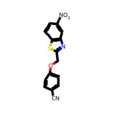 N#Cc1ccc(OCc2nc3cc([N+](=O)[O-])ccc3s2)cc1